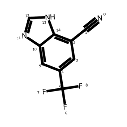 N#Cc1cc(C(F)(F)F)cc2nc[nH]c12